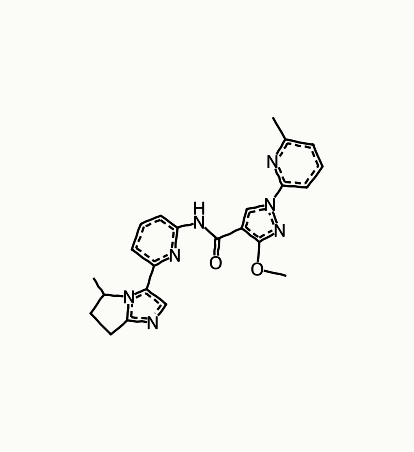 COc1nn(-c2cccc(C)n2)cc1C(=O)Nc1cccc(-c2cnc3n2C(C)CC3)n1